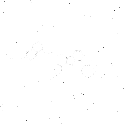 CC1=CCCN(C)C(C)=C1c1c(Cl)ccc2c(CCCOc3cccc4cc(F)ccc34)c(C(=O)OC(C)(C)C)[nH]c12